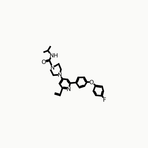 C=Cc1cc(N2CCN(C(=O)NC(C)C)CC2)cc(-c2ccc(Oc3ccc(F)cc3)cc2)n1